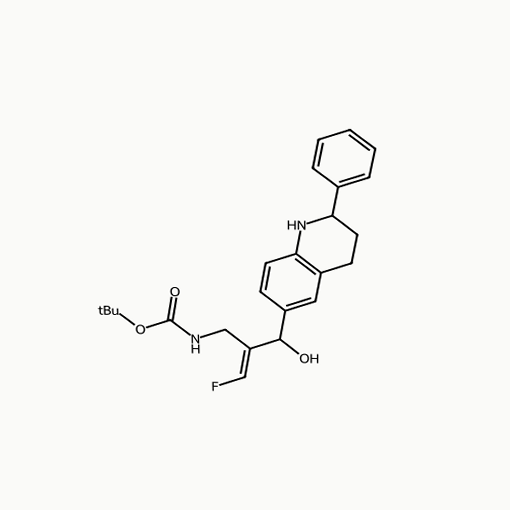 CC(C)(C)OC(=O)NC/C(=C\F)C(O)c1ccc2c(c1)CCC(c1ccccc1)N2